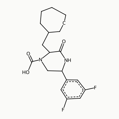 O=C1NC(c2cc(F)cc(F)c2)CN(C(=O)O)C1CC1CCCCCC1